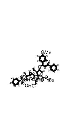 C=C[C@@]1(C(=O)[C@@]2(C(=O)CCC=O)C[C@@H](Oc3cc(-c4ccccc4)nc4cc(OC)ccc34)CN2C(=O)OC(C)(C)C)C[C@]1(N)C(=O)NS(=O)(=O)c1ccccc1